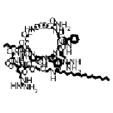 CCCCCCCCCCCCCCCC(=O)NCCOCCOCC(=O)NC(CCCNC(=N)N)C(=O)N[C@@H](CO)C(=O)N[C@@H](CCCC)C(=O)N[C@H]1CCC(=O)CNCCCC[C@@H](C(N)=O)NC(=O)[C@H](Cc2c[nH]c3ccccc23)NC(=O)[C@H](CCCNC(=N)N)NC(=O)C(Cc2ccccc2)NC(=O)[C@@H]2C[C@@H](O)CN2C1=O